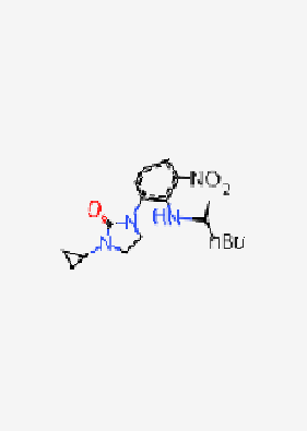 [CH2]CCCC(C)Nc1c(N2CCN(C3CC3)C2=O)cccc1[N+](=O)[O-]